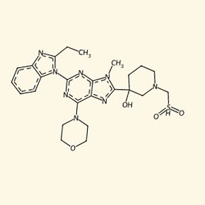 CCc1nc2ccccc2n1-c1nc(N2CCOCC2)c2nc(C3(O)CCCN(C[SH](=O)=O)C3)n(C)c2n1